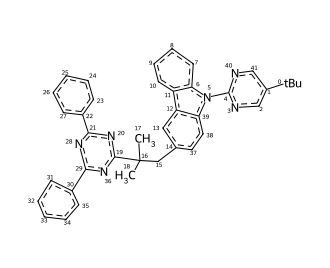 CC(C)(C)c1cnc(-n2c3ccccc3c3cc(CC(C)(C)c4nc(-c5ccccc5)nc(-c5ccccc5)n4)ccc32)nc1